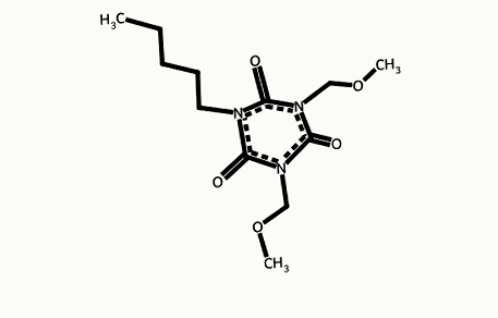 CCCCCn1c(=O)n(COC)c(=O)n(COC)c1=O